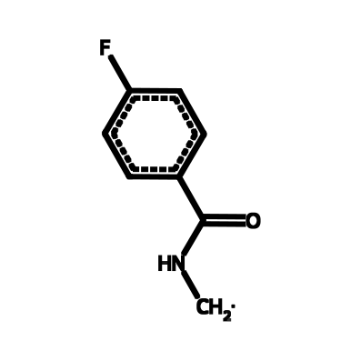 [CH2]NC(=O)c1ccc(F)cc1